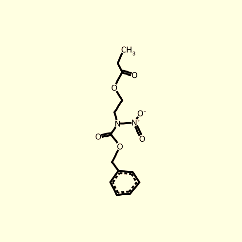 CCC(=O)OCCN(C(=O)OCc1ccccc1)[N+](=O)[O-]